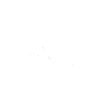 CC1(c2ccccc2)C(=O)N(Cc2ccccc2)C(=O)N1Cc1ccccc1